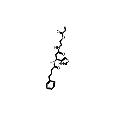 CCC(=O)OCCNC(=O)CC(NC(=O)CCCc1ccccc1)c1cnc[nH]1